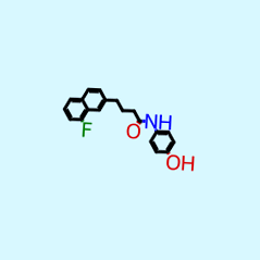 O=C(CCCc1ccc2cccc(F)c2c1)Nc1ccc(O)cc1